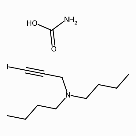 CCCCN(CC#CI)CCCC.NC(=O)O